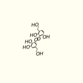 OCCc1cc(O)c(O)c(OOc2c(O)ccc(CCO)c2O)c1